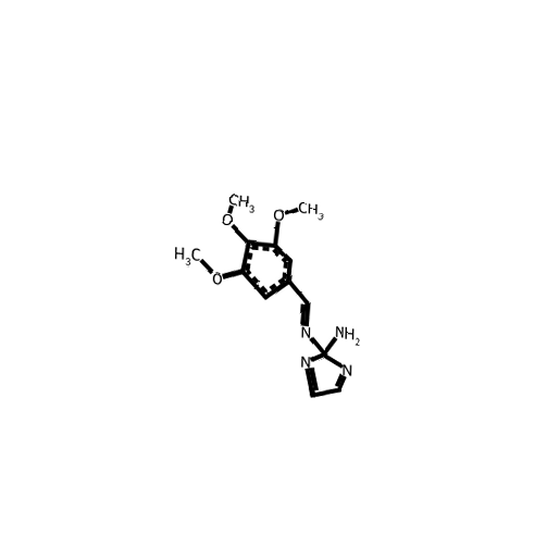 COc1cc(/C=N/C2(N)N=CC=N2)cc(OC)c1OC